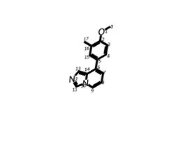 COc1ccc(-c2cccn3cncc23)cc1C